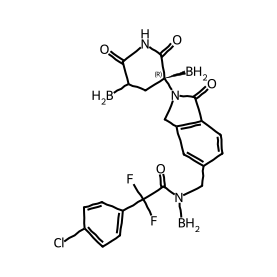 BC1C[C@@](B)(N2Cc3cc(CN(B)C(=O)C(F)(F)c4ccc(Cl)cc4)ccc3C2=O)C(=O)NC1=O